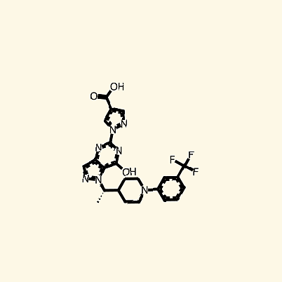 C[C@@H](C1CCN(c2cccc(C(F)(F)F)c2)CC1)n1ncc2nc(-n3cc(C(=O)O)cn3)nc(O)c21